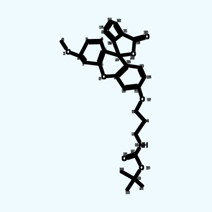 COc1ccc2c(c1)Oc1cc(OCCCNC(=O)OC(C)(C)C)ccc1C21OC(=O)c2ccccc21